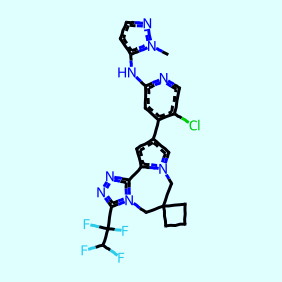 Cn1nccc1Nc1cc(-c2cc3n(c2)CC2(CCC2)Cn2c-3nnc2C(F)(F)C(F)F)c(Cl)cn1